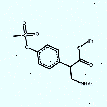 CC(=O)NCC(C(=O)OC(C)C)c1ccc(OS(C)(=O)=O)cc1